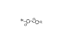 COc1ccc(C=Cc2ccc(CBr)c(Cl)c2)c(Cl)c1